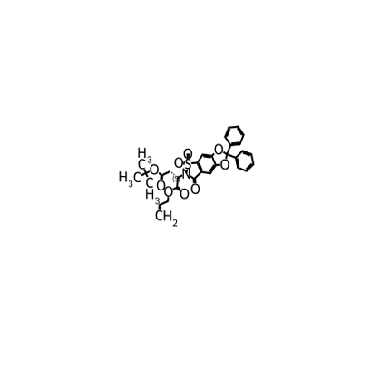 C=CCOC(=O)[C@H](CC(=O)OC(C)(C)C)N1C(=O)c2cc3c(cc2S1(=O)=O)OC(c1ccccc1)(c1ccccc1)O3